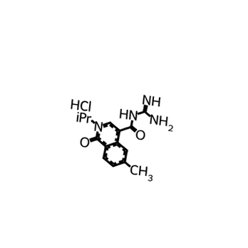 Cc1ccc2c(=O)n(C(C)C)cc(C(=O)NC(=N)N)c2c1.Cl